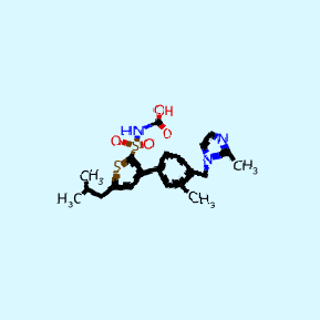 Cc1cc(-c2cc(CC(C)C)sc2S(=O)(=O)NC(=O)O)ccc1Cn1ccnc1C